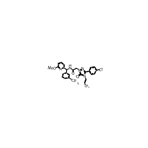 COc1cccc(C(NC(=O)Cn2nc(-c3ccc(Cl)cc3)n(C=CC(F)(F)F)c2=O)c2cccc(C(F)(F)F)c2)n1